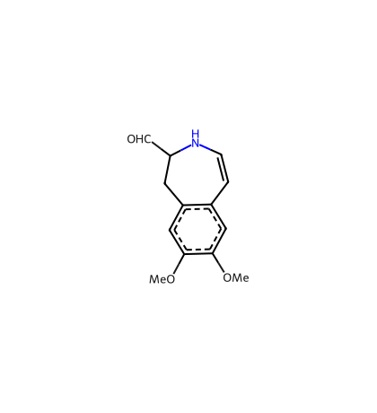 COc1cc2c(cc1OC)CC(C=O)NC=C2